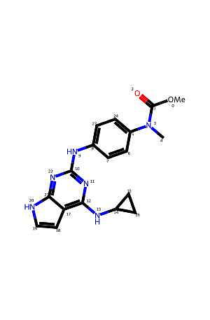 COC(=O)N(C)c1ccc(Nc2nc(NC3CC3)c3cc[nH]c3n2)cc1